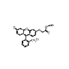 CCCCOC(=O)COc1ccc2c(-c3ccccc3C(=O)OCC)c3ccc(=O)cc-3oc2c1